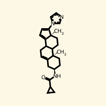 C[C@]12CCC3C(CC=C4C[C@H](NC(=O)C5CC5)CC[C@@]43C)C1=CC=C2n1ccnc1